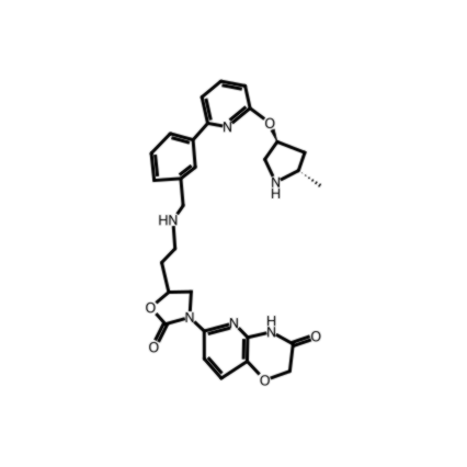 C[C@H]1C[C@H](Oc2cccc(-c3cccc(CNCCC4CN(c5ccc6c(n5)NC(=O)CO6)C(=O)O4)c3)n2)CN1